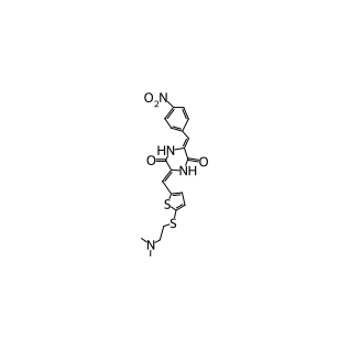 CN(C)CCSc1ccc(/C=c2\[nH]c(=O)/c(=C/c3ccc([N+](=O)[O-])cc3)[nH]c2=O)s1